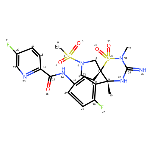 CCS(=O)(=O)N1CC[C@]2(C1)[C@@](C)(c1cc(NC(=O)c3ccc(F)cn3)ccc1F)NC(=N)N(C)S2(=O)=O